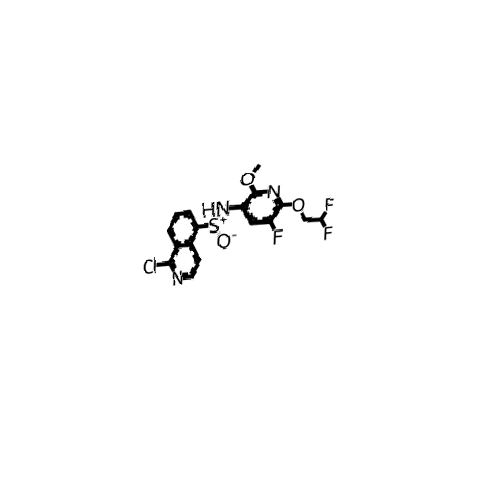 COc1nc(OCC(F)F)c(F)cc1N[S+]([O-])c1cccc2c(Cl)nccc12